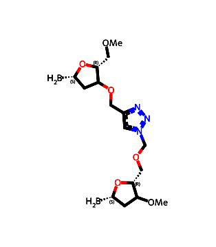 B[C@H]1CC(OC)[C@@H](COCn2cc(COC3C[C@H](B)O[C@@H]3COC)nn2)O1